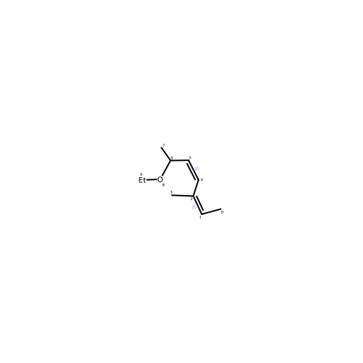 C/C=C(C)\C=C/C(C)OCC